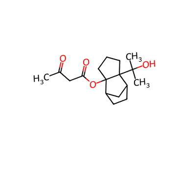 CC(=O)CC(=O)OC12CCCC1(C(C)(C)O)C1CCC2C1